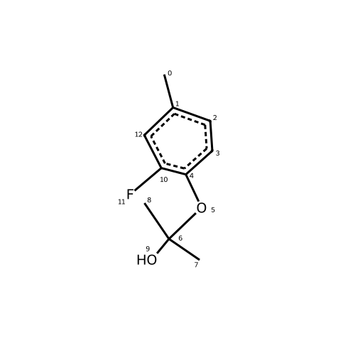 Cc1ccc(OC(C)(C)O)c(F)c1